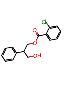 O=C(OCC(CO)c1ccccc1)c1ccccc1Cl